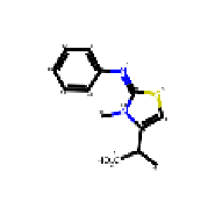 CC(C(=O)O)c1csc(=Nc2ccccc2)n1C